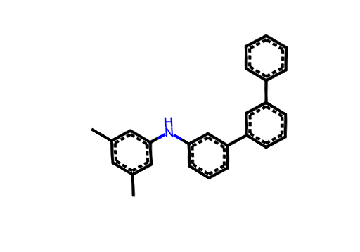 Cc1cc(C)cc(Nc2cccc(-c3cccc(-c4ccccc4)c3)c2)c1